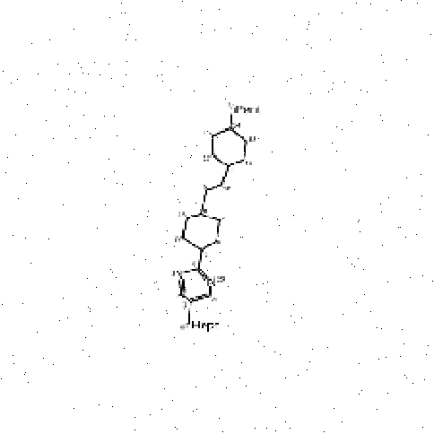 CCCCCCCc1cnc(C2CCC(CCC3CCC(CCCCC)CC3)CC2)nc1